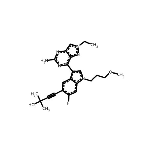 CCn1cc2nc(N)nc(-c3cn(CCCOC)c4cc(F)c(C#CC(C)(C)O)cc34)c2n1